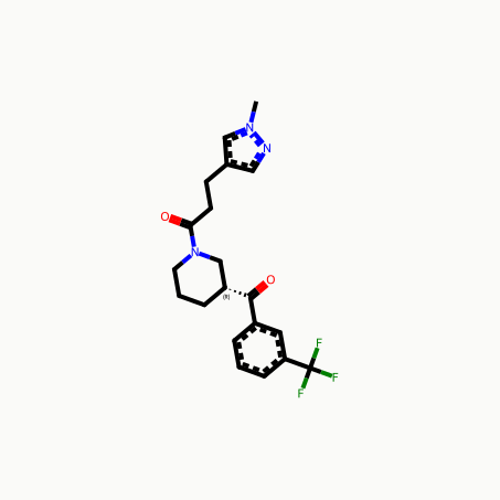 Cn1cc(CCC(=O)N2CCC[C@@H](C(=O)c3cccc(C(F)(F)F)c3)C2)cn1